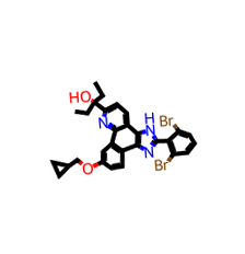 CCC(O)(CC)c1ccc2c(n1)c1cc(OCC3CC3)ccc1c1nc(-c3c(Br)cccc3Br)[nH]c21